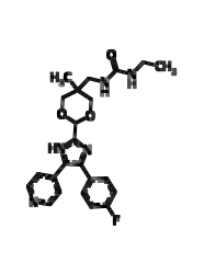 CCNC(=O)NCC1(C)COC(c2nc(-c3ccc(F)cc3)c(-c3ccncc3)[nH]2)OC1